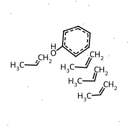 C=CC.C=CC.C=CC.C=CC.Oc1ccccc1